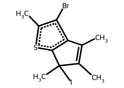 CC1=C(C)C(C)(I)c2sc(C)c(Br)c21